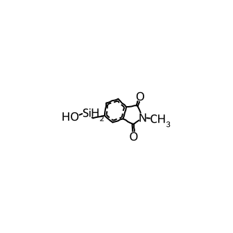 CN1C(=O)c2ccc(C[SiH2]O)cc2C1=O